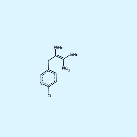 CNC(Cc1ccc(Cl)nc1)=C(SC)[N+](=O)[O-]